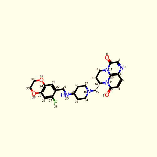 O=c1cnc2ccc(=O)n3c2n1CC[C@H]3CN1CCC(NCc2cc3c(cc2F)OCCO3)CC1